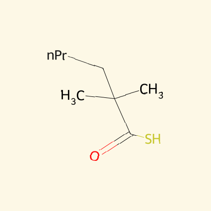 CCCCC(C)(C)C(=O)S